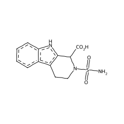 NS(=O)(=O)N1CCc2c([nH]c3ccccc23)C1C(=O)O